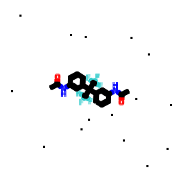 CC(=O)Nc1cccc(C(c2cccc(NC(C)=O)c2)(C(F)(F)F)C(F)(F)F)c1